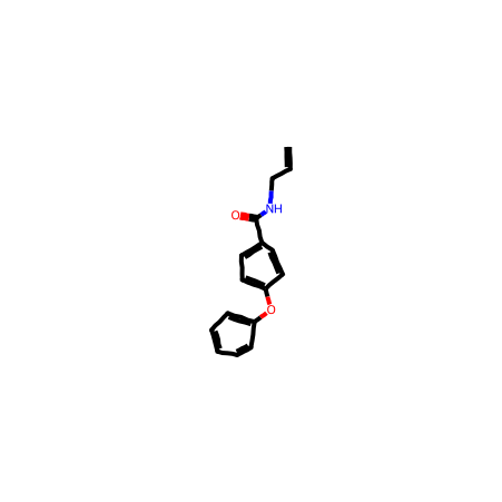 C=CCNC(=O)c1ccc(Oc2ccccc2)cc1